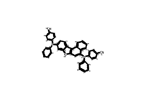 N#Cc1ccc(N(c2ccccc2)c2ccc3c(c2)oc2cc(N(c4ccccc4)c4ccc(C#N)cc4)c4ccccc4c23)cc1